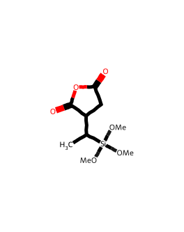 CO[Si](OC)(OC)C(C)C1CC(=O)OC1=O